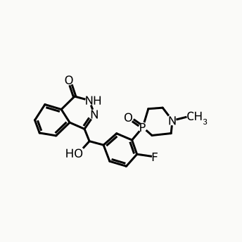 CN1CCP(=O)(c2cc(C(O)c3n[nH]c(=O)c4ccccc34)ccc2F)CC1